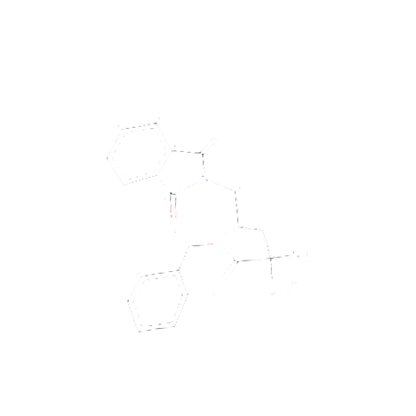 NC(CCCN1C(=O)c2ccccc2C1=O)(C(=O)O)C(=O)OCc1ccccc1